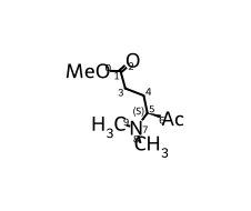 COC(=O)CC[C@@H](C(C)=O)N(C)C